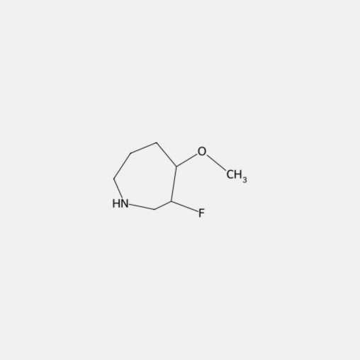 COC1CCCNCC1F